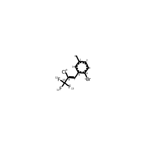 Cc1ccc(Br)c(C=C(Cl)C(F)(F)F)c1